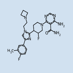 Cc1cc(-c2cn(CCN3CCC3)c(C3CCN(c4ncnc(N)c4C(N)=O)CC3F)n2)ccc1F